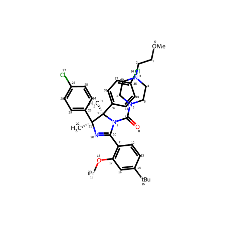 COCCN1CCN(C(=O)N2C(c3ccc(C(C)(C)C)cc3OC(C)C)=N[C@@](C)(c3ccc(Cl)cc3)[C@@]2(C)c2ccc(Cl)cc2)CC1